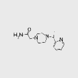 CC(c1ccccn1)N1CCN(CC(N)=O)CC1